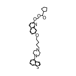 O=C(OCOc1ccc2ccc(OCCCCN3CCN(c4cccc5sccc45)CC3)cc2n1)C1CCCC1